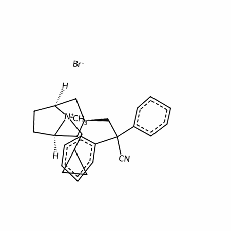 C[N+]1(CC2CC2)[C@@H]2CC[C@H]1C[C@@H](CC(C#N)(c1ccccc1)c1ccccc1)C2.[Br-]